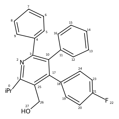 CC(C)c1nc(-c2ccccc2)c(-c2ccccc2)c(-c2ccc(F)cc2)c1CO